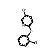 Clc1ccccc1Oc1ccc(Br)cn1